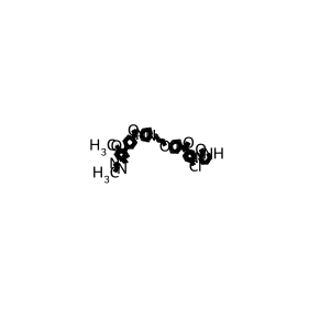 COc1cc2nc(C)ncc2cc1C1CCC(C(=O)N2CCN(CCCOC3CCN(C(=O)c4ccc(Cl)c(N5CCCNC5=O)c4)CC3)CC2)CC1